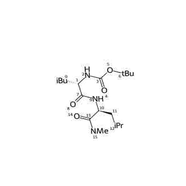 CCC(C)[C@H](NC(=O)OC(C)(C)C)C(=O)N[C@@H](CC(C)C)C(=O)NC